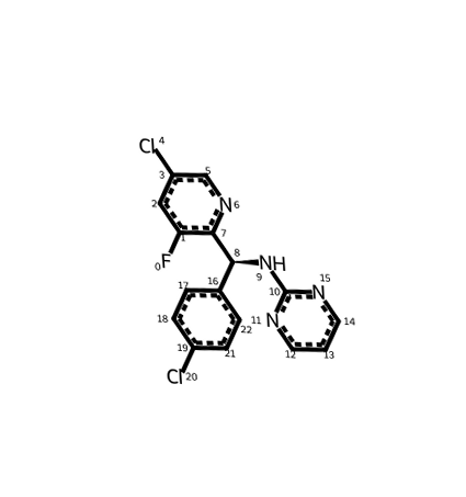 Fc1cc(Cl)cnc1[C@@H](Nc1ncccn1)c1ccc(Cl)cc1